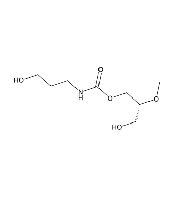 CO[C@H](CO)COC(=O)NCCCO